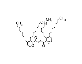 CCCCCCCCC1=C(CCCCCCCC)C(C(=O)C=CC(=O)C2OC=CC(CCCCCCCC)=C2CCCCCCCC)OC=C1